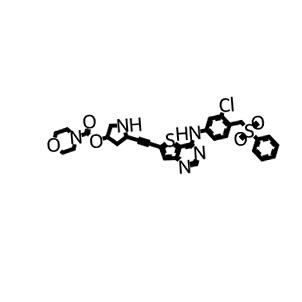 O=C(OC1CNC(C#Cc2cc3ncnc(Nc4ccc(CS(=O)(=O)c5ccccc5)c(Cl)c4)c3s2)C1)N1CCOCC1